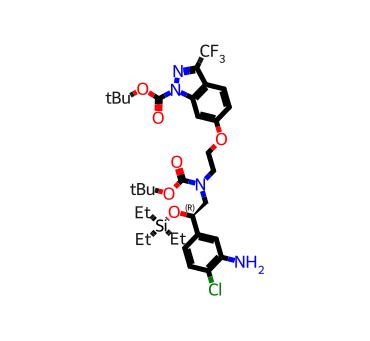 CC[Si](CC)(CC)O[C@@H](CN(CCOc1ccc2c(C(F)(F)F)nn(C(=O)OC(C)(C)C)c2c1)C(=O)OC(C)(C)C)c1ccc(Cl)c(N)c1